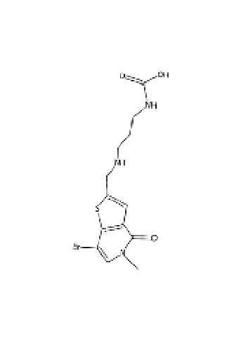 Cn1cc(Br)c2sc(CNCCCNC(=O)O)cc2c1=O